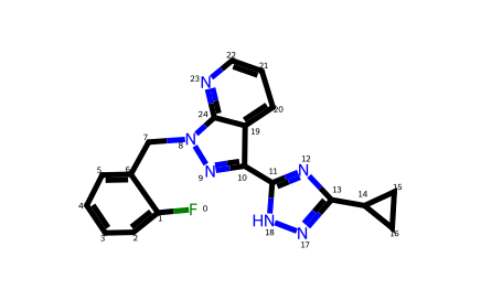 Fc1ccccc1Cn1nc(-c2nc(C3CC3)n[nH]2)c2cccnc21